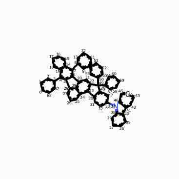 c1ccc(-c2c3c(c(-c4ccccc4)c4ccccc24)-c2cc4c(c5cccc-3c25)-c2ccc(-n3c5ccccc5c5ccccc53)cc2C4(c2ccccc2)c2ccccc2)cc1